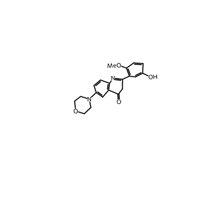 COc1ccc(O)cc1C1=Nc2ccc(N3CCOCC3)cc2C(=O)C1